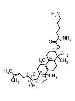 CC(C)=CCC[C@@H](C)[C@H]1CC[C@@]2(C)C3=C(CC[C@]12C)[C@@]1(C)CC[C@H](OC(=O)[C@@H](N)CCCCN)C(C)(C)C1CC3